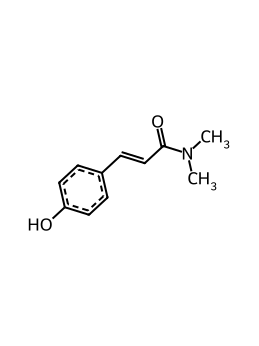 CN(C)C(=O)C=Cc1ccc(O)cc1